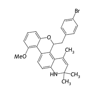 COc1cccc2c1-c1ccc3c(c1C(Cc1ccc(Br)cc1)O2)C(C)=CC(C)(C)N3